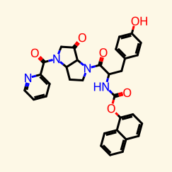 O=C(NC(Cc1ccc(O)cc1)C(=O)N1CCC2C1C(=O)CN2C(=O)c1ccccn1)Oc1cccc2ccccc12